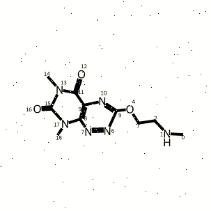 CNCCOc1nnc2c(n1)c(=O)n(C)c(=O)n2C